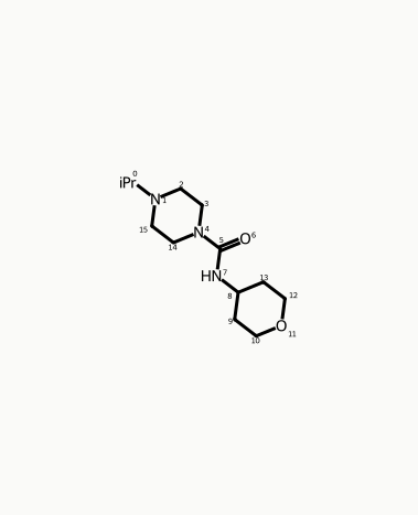 CC(C)N1CCN(C(=O)NC2CCOCC2)CC1